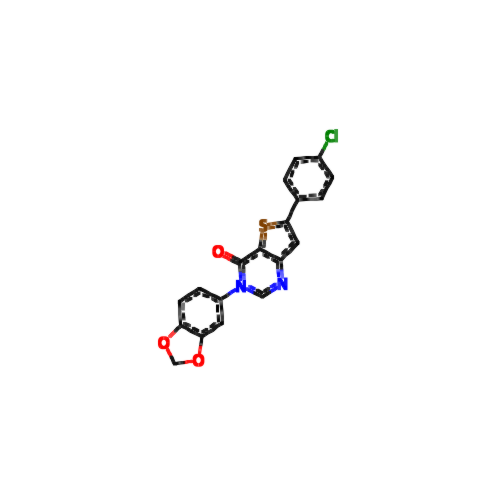 O=c1c2sc(-c3ccc(Cl)cc3)cc2ncn1-c1ccc2c(c1)OCO2